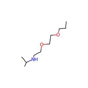 CCCOCCOCCNC(C)C